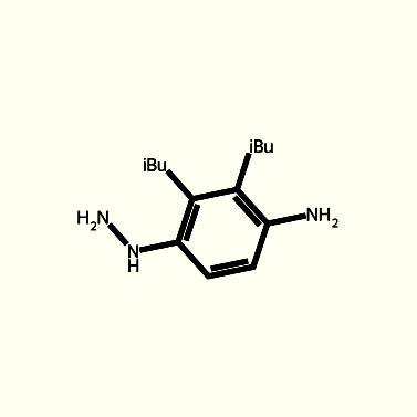 CCC(C)c1c(N)ccc(NN)c1C(C)CC